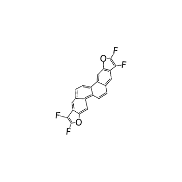 Fc1oc2cc3c(ccc4c5cc6oc(F)c(F)c6cc5ccc34)cc2c1F